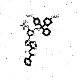 COc1ccc(C(OC[C@H]2O[C@@H](n3cnc4c(NC(=O)c5ccccc5)ncnc43)C[C@@H]2O[Si](C)(C)C(C)(C)C)(c2ccccc2)c2ccc(OC)cc2)cc1